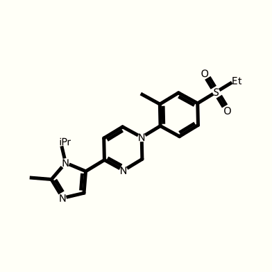 CCS(=O)(=O)c1ccc(N2C=CC(c3cnc(C)n3C(C)C)=NC2)c(C)c1